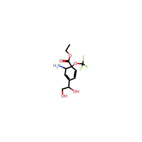 CCOC(=O)C1(OC(F)(F)F)C=CC(C(O)CO)=CC1N